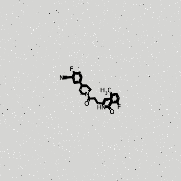 Cc1ccc(F)c2c(=O)[nH]c(CCC(=O)N3CC=C(c4ccc(F)c(C#N)c4)CC3)cc12